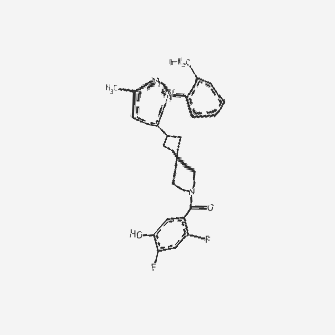 Cc1cc(C2CC3(C2)CN(C(=O)c2cc(O)c(F)cc2F)C3)n(-c2ccccc2C)n1